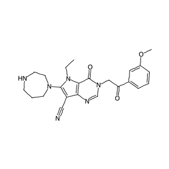 CCn1c(N2CCCNCC2)c(C#N)c2ncn(CC(=O)c3cccc(OC)c3)c(=O)c21